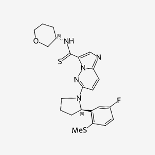 CSc1ccc(F)cc1[C@H]1CCCN1c1ccc2ncc(C(=S)N[C@H]3CCCOC3)n2n1